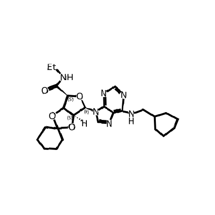 CCNC(=O)[C@H]1O[C@@H](n2cnc3c(NCC4CCCCC4)ncnc32)[C@H]2OC3(CCCCC3)OC12